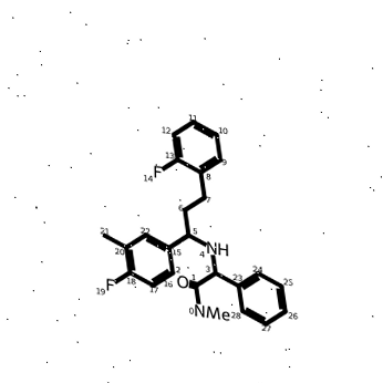 CNC(=O)C(NC(CCc1ccccc1F)c1ccc(F)c(C)c1)c1ccccc1